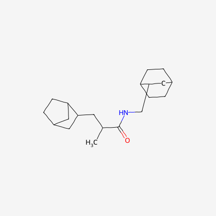 CC(CC1CC2CCC1C2)C(=O)NCC1CC2CCC1CC2